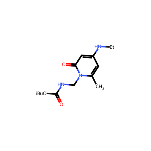 CCNc1cc(C)n(CNC(=O)OCC(C)C)c(=O)c1